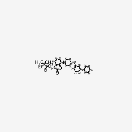 CCC(C)(C)C(=O)OCn1c(=O)oc2c(N3CCN(Cc4cccc(-c5ccccc5)c4)CC3)cccc21